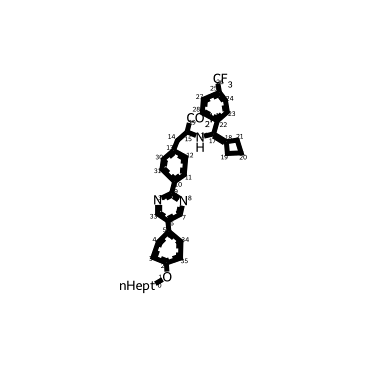 CCCCCCCOc1ccc(-c2cnc(-c3ccc(CC(NC(=C4CCC4)c4ccc(C(F)(F)F)cc4)C(=O)O)cc3)nc2)cc1